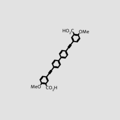 COc1ccc(C#Cc2ccc(-c3ccc(C#Cc4ccc(OC)c(C(=O)O)c4)cc3)cc2)cc1C(=O)O